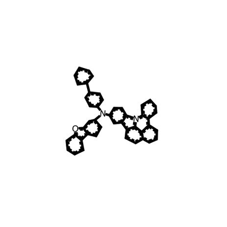 c1ccc(-c2ccc(N(c3ccc4c(c3)oc3ccccc34)c3ccc4c(c3)c3ccc5cccc6c7ccccc7n4c3c56)cc2)cc1